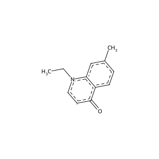 CCn1c[c]c(=O)c2ccc(C)cc21